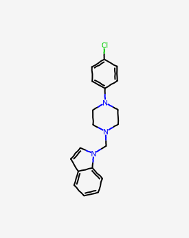 Clc1ccc(N2CCN(Cn3ccc4ccccc43)CC2)cc1